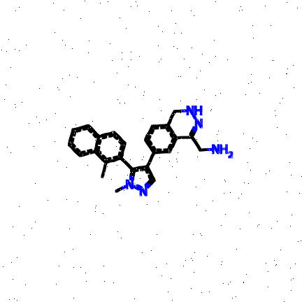 Cc1c(-c2c(-c3ccc4c(c3)C(CN)=NNC4)cnn2C)ccc2ccccc12